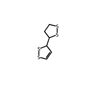 C1=CC(C2CCSS2)SS1